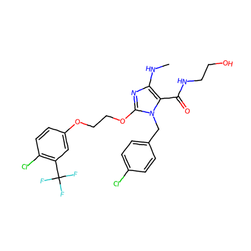 CNc1nc(OCCOc2ccc(Cl)c(C(F)(F)F)c2)n(Cc2ccc(Cl)cc2)c1C(=O)NCCO